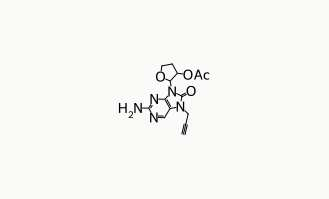 C#CCn1c(=O)n(C2OCCC2OC(C)=O)c2nc(N)ncc21